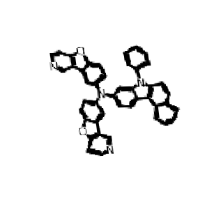 c1ccc(-n2c3cc(N(c4ccc5oc6ccncc6c5c4)c4ccc5oc6ccncc6c5c4)ccc3c3c4ccccc4ccc32)cc1